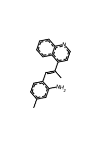 CC(=Cc1ccc(C)cc1N)c1ccnc2ccccc12